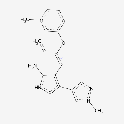 C=C/C(=C\c1c(-c2cnn(C)c2)c[nH]c1N)Oc1cccc(C)c1